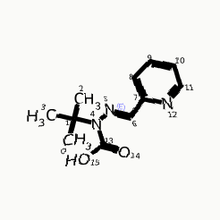 CC(C)(C)N(/N=C/c1ccccn1)C(=O)O